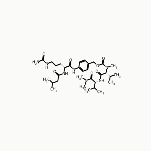 CC(C)CC(=O)N[C@H](CCCNC(N)=O)C(=O)Nc1ccc(COC(=O)N(C)[C@@H](C(=O)N[C@@H](C(=O)N(C)C)C(C)C)C(C)C)cc1